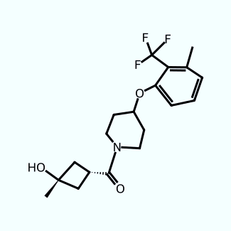 Cc1cccc(OC2CCN(C(=O)[C@H]3C[C@@](C)(O)C3)CC2)c1C(F)(F)F